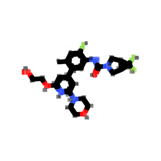 Cc1cc(F)c(NC(=O)N2CC3C(C2)C3(F)F)cc1-c1cc(OCCO)nc(N2CCOCC2)c1